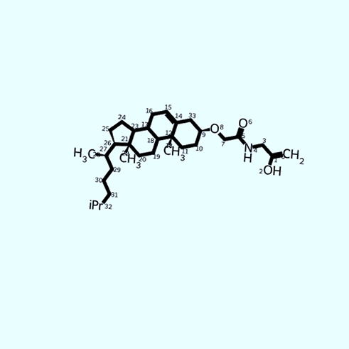 C=C(O)CNC(=O)CO[C@H]1CC[C@@]2(C)C(=CCC3C2CC[C@@]2(C)C3CC[C@@H]2[C@H](C)CCCC(C)C)C1